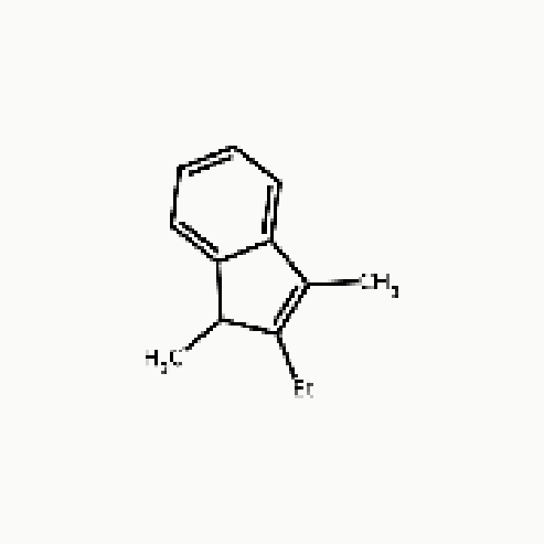 CCC1=C(C)c2ccccc2C1C